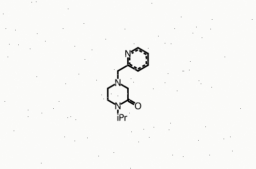 CC(C)N1CCN(Cc2ccccn2)CC1=O